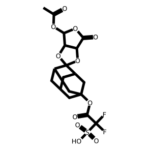 CC(=O)OC1OC(=O)C2OC3(OC12)C1CC2CC3CC(OC(=O)C(F)(F)S(=O)(=O)O)(C2)C1